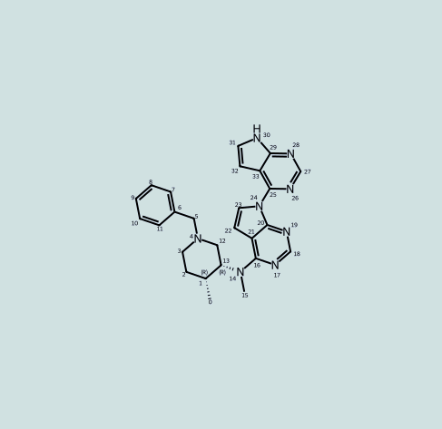 C[C@@H]1CCN(Cc2ccccc2)C[C@@H]1N(C)c1ncnc2c1ccn2-c1ncnc2[nH]ccc12